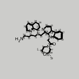 C[C@@H]1CN(C(=O)CN2c3ccccc3C3C=CN=C(CN(CCCCN)[C@H]4CCCc5cccnc54)C32)C[C@H](C)O1